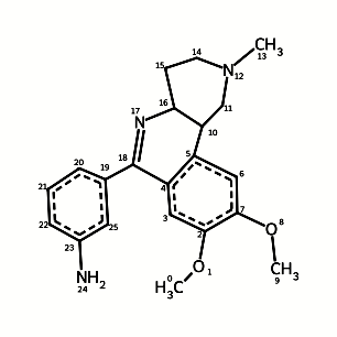 COc1cc2c(cc1OC)C1CN(C)CCC1N=C2c1cccc(N)c1